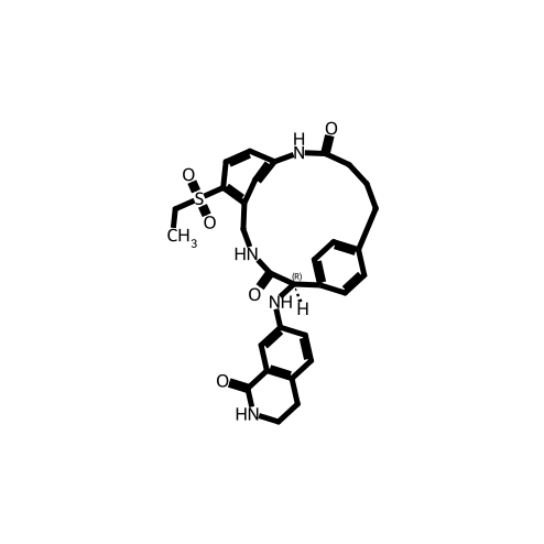 CCS(=O)(=O)c1ccc2cc1CNC(=O)[C@H](Nc1ccc3c(c1)C(=O)NCC3)c1ccc(cc1)CCCC(=O)N2